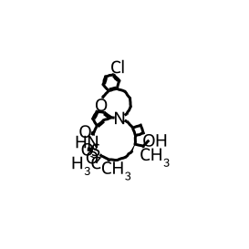 CC1CCC[C@H]([C@H](C)O)C2CCC2CN2CCCCc3cc(Cl)ccc3COc3ccc(cc32)C(=O)NS(=O)(=O)[C@@H]1C